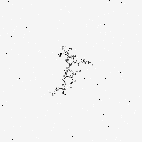 COCn1nc(C(F)(F)F)nc1-c1nc2cc(C(=O)OC)ccn2c1I